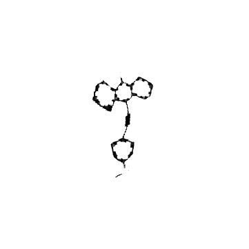 COc1ccc(C#Cc2c3ccccc3c(Br)c3ccccc23)cc1